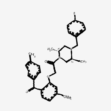 COc1ccc(C(=O)c2ccc(C)cc2)c(OCC(=O)N2C[C@H](C)N(Cc3ccc(F)cc3)C[C@H]2C)c1